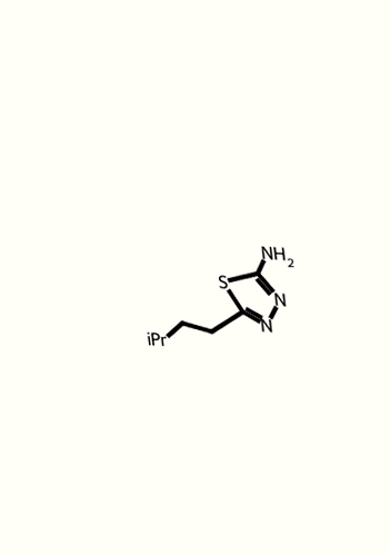 CC(C)CCc1nnc(N)s1